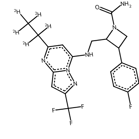 [2H]C([2H])([2H])C([2H])([2H])c1cc(NCC2C(c3ccc(F)cc3)CN2C(N)=O)n2nc(C(F)(F)F)cc2n1